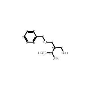 CC(C)(C)N(C(=O)O)[C@H](CO)COCc1ccccc1